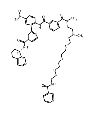 CCN(CC)c1ccc(NC(=O)c2cccc(C(=O)N(C)CCN(C)CCOCCOCCOCCNC(=O)c3cccnc3)c2)c(-c2cc(C(=O)N[C@H]3CCCc4ccccc43)ccn2)c1